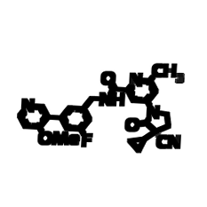 COc1ccncc1-c1cc(F)cc(CNC(=O)c2cc(N3CC[C@@](C#N)(C4CC4)C3=O)cc(C)n2)c1